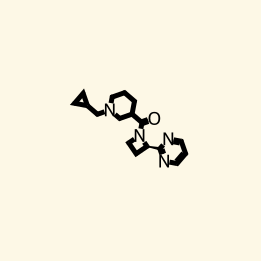 O=C(C1CCCN(CC2CC2)C1)N1CC[C@@H]1c1ncccn1